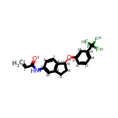 C=CC(=O)Nc1ccc2c(c1)CC[C@@H]2Oc1cccc(C(F)(F)F)c1